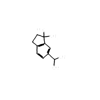 CC(C)c1ccc2c(c1)C(C)(C)CC2